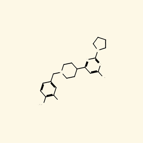 COc1ccc(CN2CCC(c3cc(O)nc(N4CCCC4)n3)CC2)cc1O